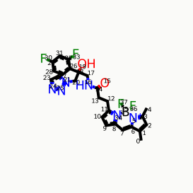 CC1=CC(C)=[N+]2C1=Cc1ccc(CCC(=O)NCC(O)(Cn3ccnn3)c3ccc(F)cc3F)n1[B-]2(F)F